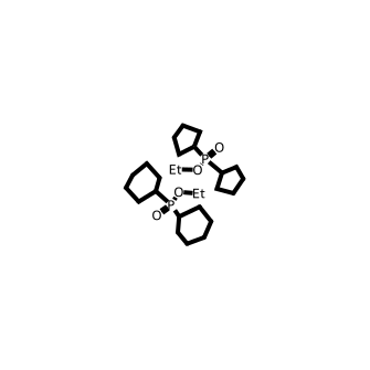 CCOP(=O)(C1CCCC1)C1CCCC1.CCOP(=O)(C1CCCCC1)C1CCCCC1